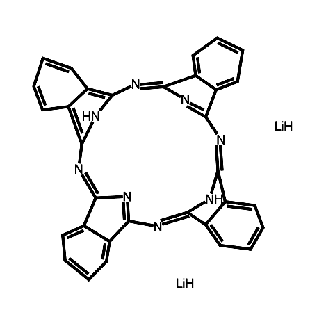 [LiH].[LiH].c1ccc2c(c1)-c1nc-2nc2[nH]c(nc3nc(nc4[nH]c(n1)c1ccccc41)-c1ccccc1-3)c1ccccc21